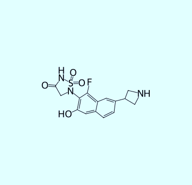 O=C1CN(c2c(O)cc3ccc(C4CNC4)cc3c2F)S(=O)(=O)N1